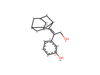 OCC(=C1C2CC3CC(C2)CC1C3)c1cccc(O)c1